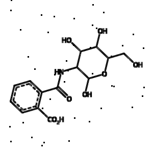 O=C(O)c1ccccc1C(=O)NC1C(O)OC(CO)C(O)C1O